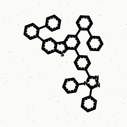 c1ccc(-c2ccccc2-c2ccc3sc4c(-c5ccc(-c6nnc(-c7ccccc7)n6-c6ccccc6)cc5)cc(-c5ccccc5-c5ccccc5)cc4c3c2)cc1